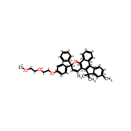 CCOCCOCCOc1ccc(C2(c3ccccc3)C=Cc3c4c(c5ccccc5c3O2)-c2ccc(C)cc2C4(C)C)cc1